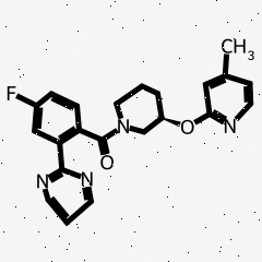 Cc1ccnc(O[C@@H]2CCCN(C(=O)c3ccc(F)cc3-c3ncccn3)C2)c1